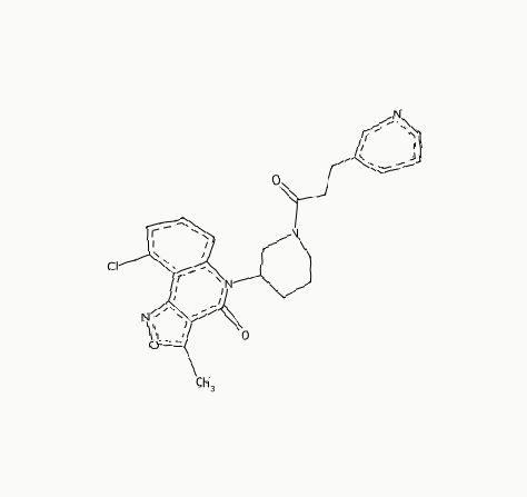 Cc1onc2c1c(=O)n(C1CCCN(C(=O)CCc3cccnc3)C1)c1cccc(Cl)c21